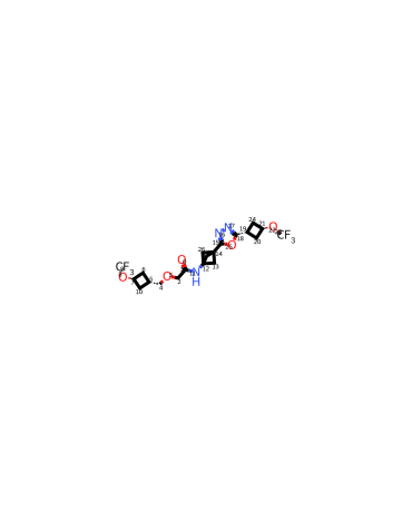 O=C(COC[C@H]1C[C@@H](OC(F)(F)F)C1)NC12CC(c3nnc([C@H]4C[C@@H](OC(F)(F)F)C4)o3)(C1)C2